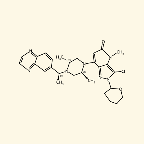 C[C@@H]1CN(c2cc(=O)n(C)c3c(Cl)n(C4CCCCO4)nc23)[C@@H](C)CN1[C@@H](C)c1ccc2nccnc2c1